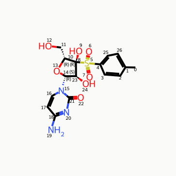 Cc1ccc(S(=O)(=O)[C@@]2(O)[C@@H](CO)O[C@@H](n3ccc(N)nc3=O)[C@@H]2O)cc1